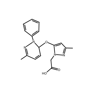 CC1=NN(c2ccccc2)C(Oc2cc(C)nn2CC(=O)O)C=C1